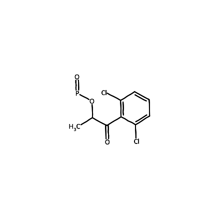 CC(OP=O)C(=O)c1c(Cl)cccc1Cl